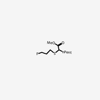 CCCCCC(SCCCF)C(=O)OC